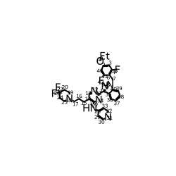 CCOc1cc(F)c(Cn2nc(-c3ncc(CCCN4CCC(F)(F)CC4)c(Nc4ccncc4)n3)c3ccccc32)c(F)c1